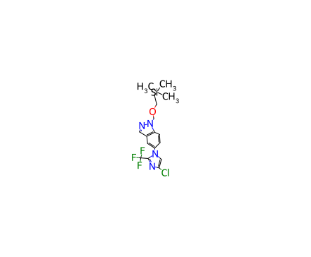 C[Si](C)(C)CCOCn1ncc2cc(-n3cc(Cl)nc3C(F)(F)F)ccc21